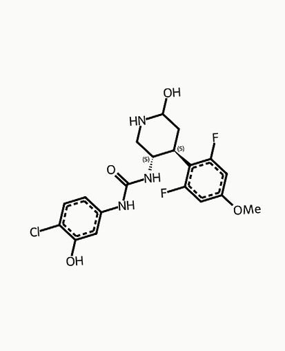 COc1cc(F)c([C@@H]2CC(O)NC[C@H]2NC(=O)Nc2ccc(Cl)c(O)c2)c(F)c1